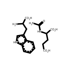 NC(=O)NC(CCC(=O)O)C(=O)O.NC(Cc1c[nH]c2ccccc12)C(=O)O